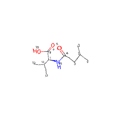 CC(C)CC(=O)N[C@H](C(=O)O)C(C)C